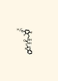 COc1ccc(F)c(CCNC(=O)NSc2nc3ccccc3s2)c1F